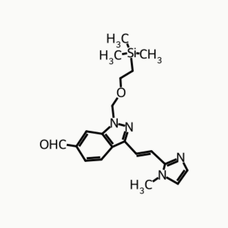 Cn1ccnc1C=Cc1nn(COCC[Si](C)(C)C)c2cc(C=O)ccc12